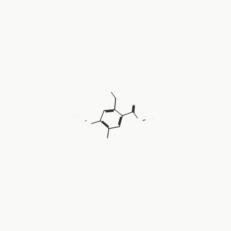 COC(=O)c1cc(Cl)c(OC)cc1CBr